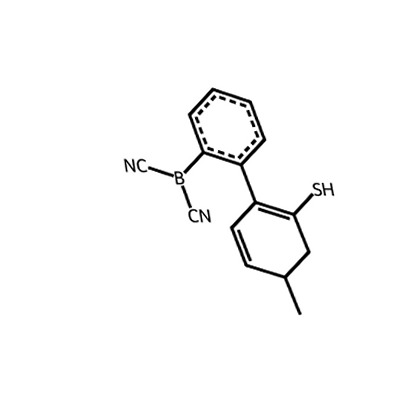 CC1C=CC(c2ccccc2B(C#N)C#N)=C(S)C1